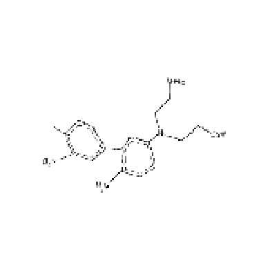 COCCN(CCOC)c1ccc(N)c(-c2ccc(C)c([N+](=O)[O-])c2)c1